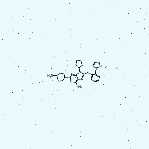 Nc1nc(N2CCC(N)CC2)nc2c1nc(Cc1ccccc1-n1cccn1)n2C1CCCC1